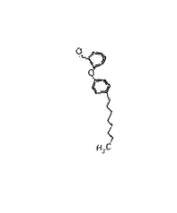 CCCCCCCCc1ccc(Oc2ccccc2[C]=O)cc1